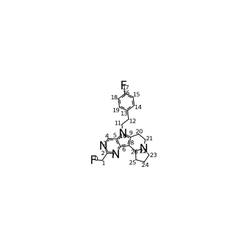 FCc1ncc2c(n1)c1c(n2CCc2ccc(F)cc2)CCN2CCCC12